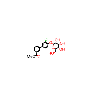 COC(=O)c1cccc(-c2ccc(O[C@H]3O[C@H](CO)[C@@H](O)[C@H](O)[C@@H]3O)c(Cl)c2)c1